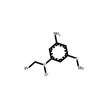 CC(C)C[S+]([O-])c1cc(N)cc(SC(C)(C)C)c1